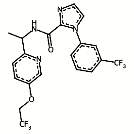 CC(NC(=O)c1nccn1-c1cccc(C(F)(F)F)c1)c1ccc(OCC(F)(F)F)cn1